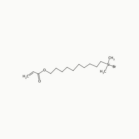 C=CC(=O)OCCCCCCCCCC[Si](C)(C)Br